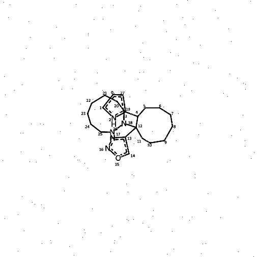 c1c[nH]c(C2CCCCCCCC2(c2conn2)N2CCCCCCCN2)c1